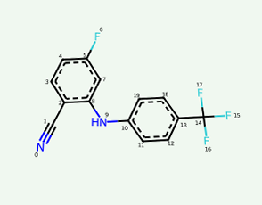 N#Cc1ccc(F)cc1Nc1ccc(C(F)(F)F)cc1